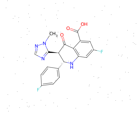 Cn1ncnc1[C@H]1C(=O)c2c(cc(F)cc2C(=O)O)N[C@@H]1c1ccc(F)cc1